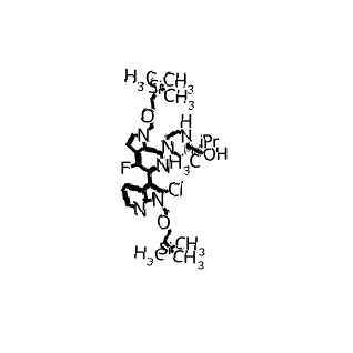 CC(C)[C@@](C)(O)[C@@H]1CN(c2nc(-c3c(Cl)n(COCC[Si](C)(C)C)c4ncccc34)c(F)c3ccn(COCC[Si](C)(C)C)c23)CCN1